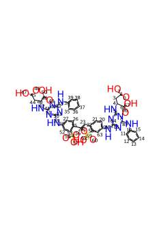 O=C(O)CC(Nc1nc(Nc2ccccc2)nc(Nc2ccc(/C=C/c3ccc(Nc4nc(Nc5ccccc5)nc(NC(CC(=O)O)C(=O)O)n4)cc3S(=O)(=O)O)c(S(=O)(=O)O)c2)n1)C(=O)O